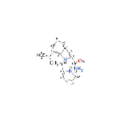 CC(C)c1cccc2cc(C(N)=O)n(Cc3ccccn3)c12